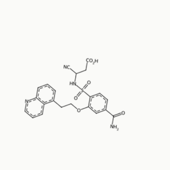 N#CC(CC(=O)O)NS(=O)(=O)c1ccc(C(N)=O)cc1OCCc1cccc2ncccc12